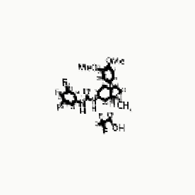 COc1ccc([C@]23CC[C@H](NC(=O)Nc4cc(F)c(F)c(F)c4)C[C@H]2N(C)CC3)cc1OC.O=C(O)C(F)(F)F